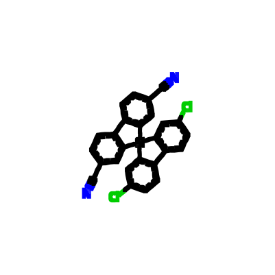 N#Cc1ccc2c(c1)[Si]1(c3cc(Cl)ccc3-c3ccc(Cl)cc31)c1cc(C#N)ccc1-2